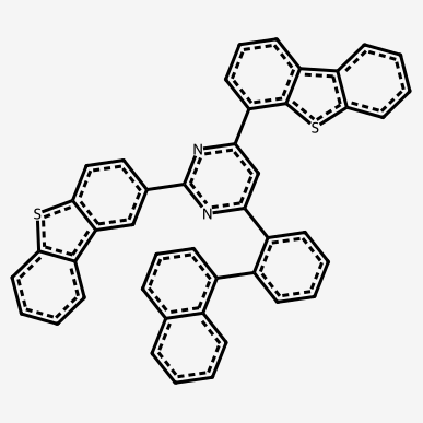 c1ccc(-c2cccc3ccccc23)c(-c2cc(-c3cccc4c3sc3ccccc34)nc(-c3ccc4sc5ccccc5c4c3)n2)c1